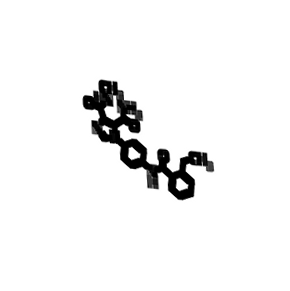 CCc1ccccc1C(=O)Nc1ccc(-n2cnc(C(=O)NC)c2C(N)=O)cc1